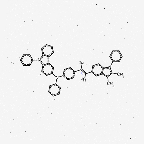 [2H]/C(=C(/[2H])c1ccc2c(c1)c(C)c(C)n2-c1ccccc1)c1ccc(N(c2ccccc2)c2ccc3c(c2)c2ccccc2n3-c2ccccc2)cc1